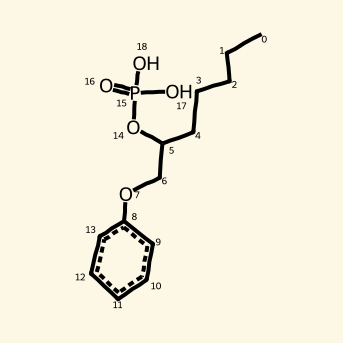 CCCCCC(COc1ccccc1)OP(=O)(O)O